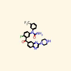 NC(=O)N(c1cccc(C(F)(F)F)c1)c1ccc(F)c(C(=O)c2ccc3ncc(N4CCNCC4)nc3c2)c1